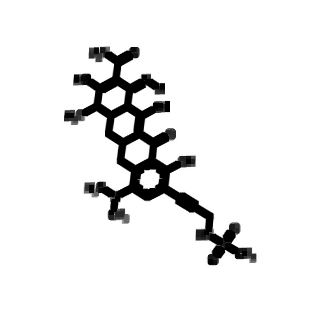 [H]/N=C1/C(C(N)=O)=C(O)C(C)C2CC3Cc4c(N(C)C)cc(C#CCNS(C)(=O)=O)c(O)c4C(=O)C3=C(O)C12